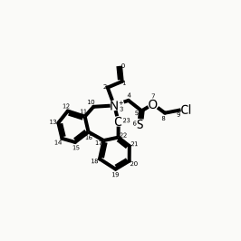 C=CC[N+]1(CC(=S)OCCl)Cc2ccccc2-c2ccccc2C1